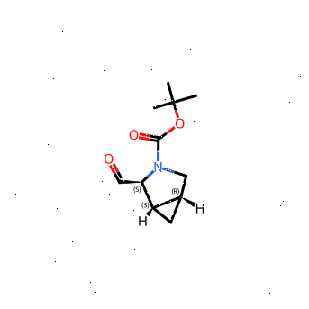 CC(C)(C)OC(=O)N1C[C@@H]2C[C@@H]2[C@H]1C=O